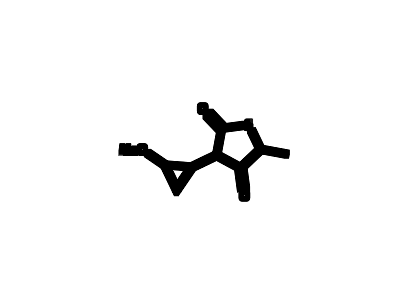 COC1CC1C1C(=O)SC(C)C1=O